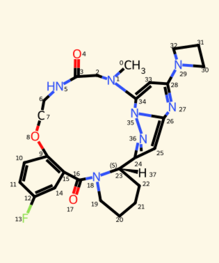 CN1CC(=O)NCCOc2ccc(F)cc2C(=O)N2CCCC[C@H]2c2cc3nc(N4CCC4)cc1n3n2